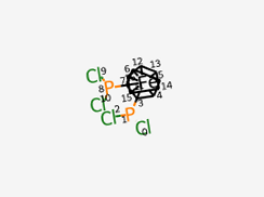 ClP(Cl)[C]12[CH]3[CH]4[CH]5[C]1(P(Cl)Cl)[Fe]43521678[CH]2[CH]1[CH]6[CH]7[CH]28